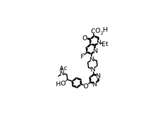 CCn1cc(C(=O)O)c(=O)c2cc(F)c(N3CCN(c4cc(Oc5ccc([C@@H](O)CN(C)C(C)=O)cc5)ncn4)CC3)nc21